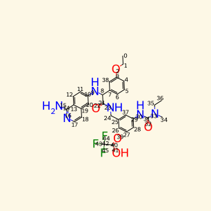 CCOc1cccc(C(Nc2ccc3c(N)nccc3c2)C(=O)NCc2cccc(NC(=O)N(C)CC)c2)c1.O=C(O)C(F)(F)F